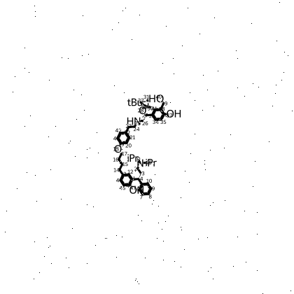 CC(C)N(CC[C@H](c1ccccc1)c1cc(CCCCOc2ccc(CCNC[C@H](O[Si](C)(C)C(C)(C)C)c3ccc(O)c(CO)c3)cc2)ccc1O)C(C)C